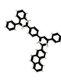 c1ccc(-c2cc(-c3ccc(-c4nc(-c5ccccc5)c5ccccc5n4)cc3)nc(-c3ccc4c(ccc5ccccc54)c3)n2)cc1